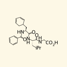 CC(C)C[C@H](NC(=O)[C@H](CC1C=CC=CC1)NC(=O)c1ccccc1)C(=O)NCC(=O)O